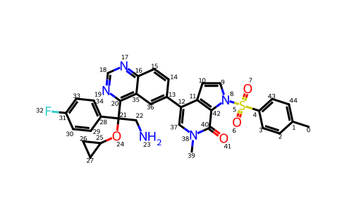 Cc1ccc(S(=O)(=O)n2ccc3c(-c4ccc5ncnc(C(CN)(OC6CC6)c6ccc(F)cc6)c5c4)cn(C)c(=O)c32)cc1